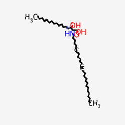 CCCCCCCCCCCCC/C=C/C(O)C(CO)NC(=O)CCCCCCCCCCCCCCCCCCCCCCCCCCCC